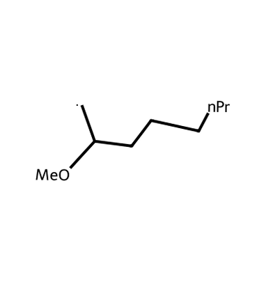 [CH2]C(CCCCCC)OC